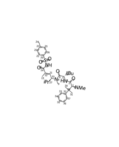 CN[C@H](C(=O)N[C@H](C(=O)N(C)[C@H](C=C(C)C(=O)NS(=O)(=O)c1ccc(C)cc1)C(C)C)C(C)(C)C)C(C)(C)c1ccccc1